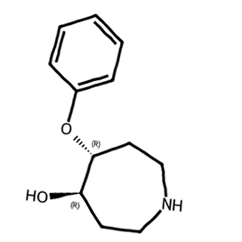 O[C@@H]1CCNCC[C@H]1Oc1ccccc1